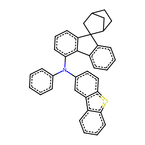 c1ccc(N(c2ccc3sc4ccccc4c3c2)c2cccc3c2-c2ccccc2C32CC3CCC2C3)cc1